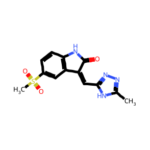 Cc1nnc(/C=C2\C(=O)Nc3ccc(S(C)(=O)=O)cc32)[nH]1